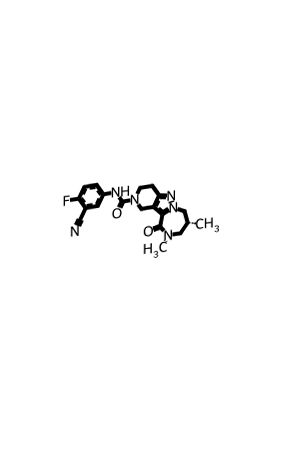 C[C@@H]1CN(C)C(=O)c2c3c(nn2C1)CCN(C(=O)Nc1ccc(F)c(C#N)c1)C3